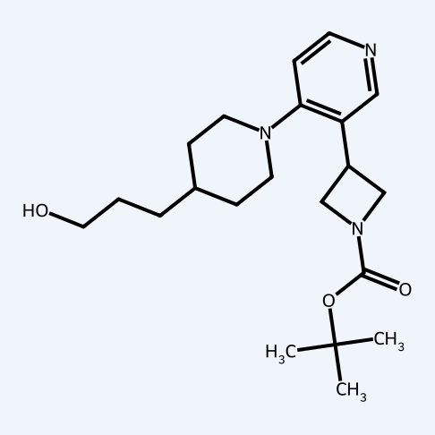 CC(C)(C)OC(=O)N1CC(c2cnccc2N2CCC(CCCO)CC2)C1